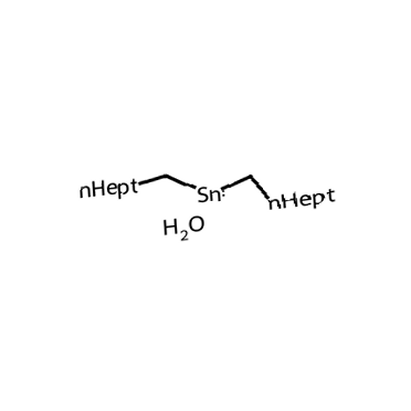 CCCCCCC[CH2][Sn][CH2]CCCCCCC.O